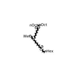 CCCCCC/C=C\COC(=O)CCCCCCCN(CCCCCCCC(=O)OC(CCCCCCCC)CCCCCCCC)CCOC